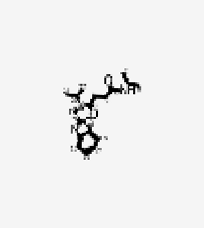 CC(C)NC(=O)CCC(=O)N(Sc1nc2ccccc2o1)C(C)C